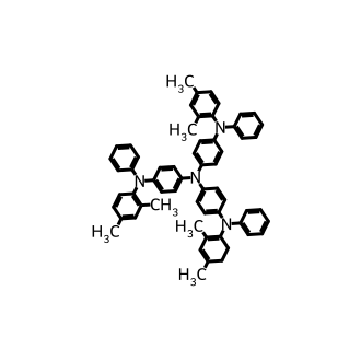 CC1=CC(C)=C(N(c2ccccc2)c2ccc(N(c3ccc(N(c4ccccc4)c4ccc(C)cc4C)cc3)c3ccc(N(c4ccccc4)c4ccc(C)cc4C)cc3)cc2)CC1